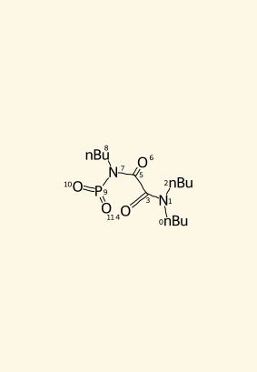 CCCCN(CCCC)C(=O)C(=O)N(CCCC)P(=O)=O